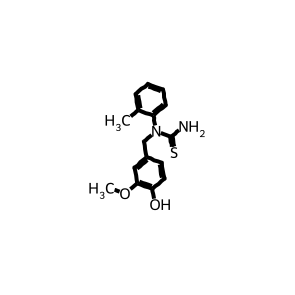 COc1cc(CN(C(N)=S)c2ccccc2C)ccc1O